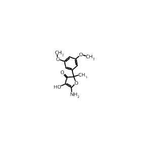 COc1cc(OC)cc(C2(C)OC(N)=C(O)C2=O)c1